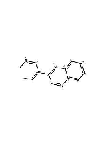 C/C=C(\C=N/C)c1cnc2ccccc2n1